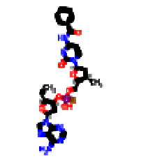 CC[C@H]1O[C@@H](n2cnc3c(N)ncnc32)C[C@@H]1OP(O)(=S)OC[C@H]1O[C@@H](n2ccc(NC(=O)c3ccccc3)nc2=O)C[C@@H]1C